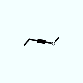 CCC#COC